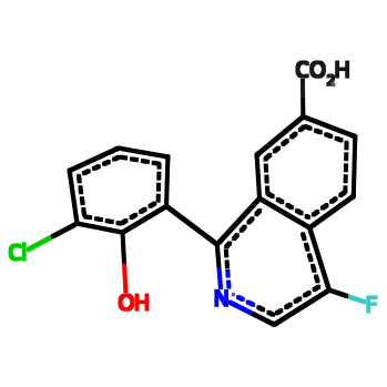 O=C(O)c1ccc2c(F)cnc(-c3cccc(Cl)c3O)c2c1